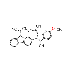 N#CC(C#N)=C1C(c2ccc3c(c2)C(=C(C#N)C#N)c2ccccc2-3)=C(C#N)c2ccc(OC(F)(F)F)cc21